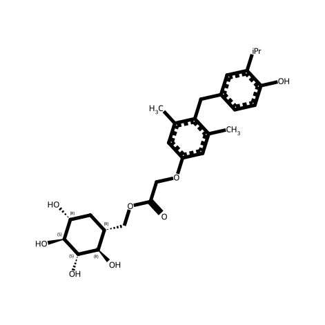 Cc1cc(OCC(=O)OC[C@H]2C[C@@H](O)[C@H](O)[C@@H](O)[C@@H]2O)cc(C)c1Cc1ccc(O)c(C(C)C)c1